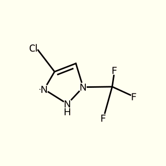 FC(F)(F)N1C=C(Cl)[N]N1